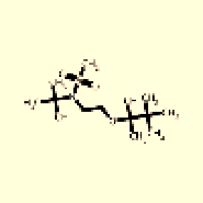 CC(C)(C)N(CCOC(C)(C)C(C)(C)C)S(C)(=O)=O